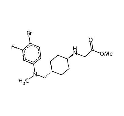 COC(=O)CN[C@H]1CC[C@H](CN(C)c2ccc(Br)c(F)c2)CC1